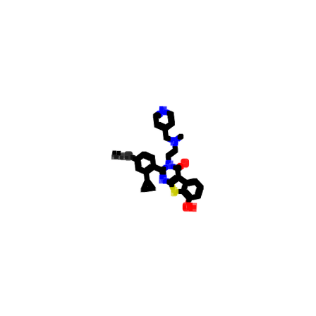 COc1ccc(-c2nc3sc4c(O)cccc4c3c(=O)n2CCN(C)Cc2ccncc2)c(C2CC2)c1